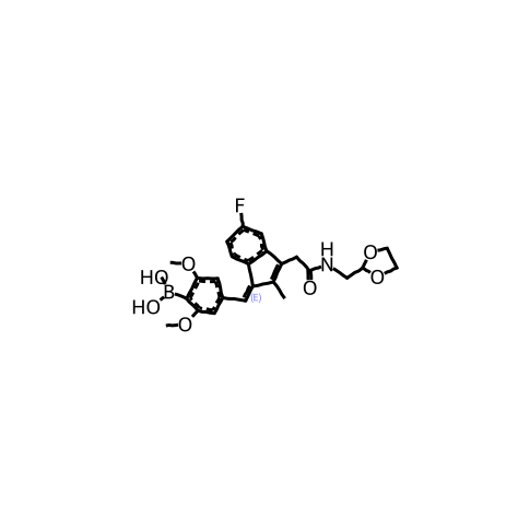 COc1cc(/C=C2/C(C)=C(CC(=O)NCC3OCCO3)c3cc(F)ccc32)cc(OC)c1B(O)O